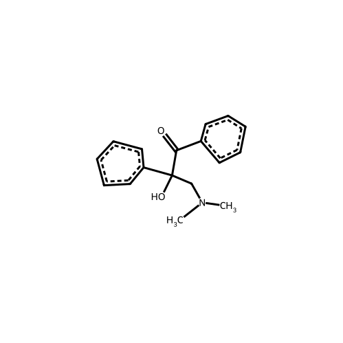 CN(C)CC(O)(C(=O)c1ccccc1)c1ccccc1